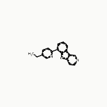 CCc1ccc(-c2cccc3c2oc2ccncc23)nc1